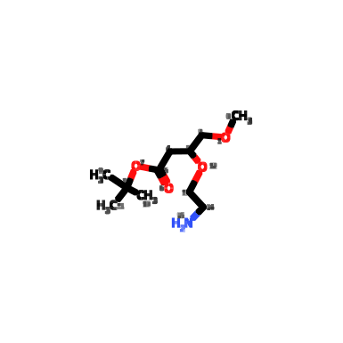 COCC(CC(=O)OC(C)(C)C)OCCN